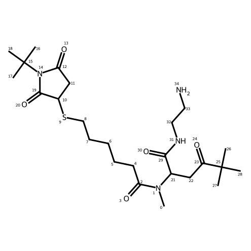 CN(C(=O)CCCCCSC1CC(=O)N(C(C)(C)C)C1=O)C(CC(=O)C(C)(C)C)C(=O)NCCN